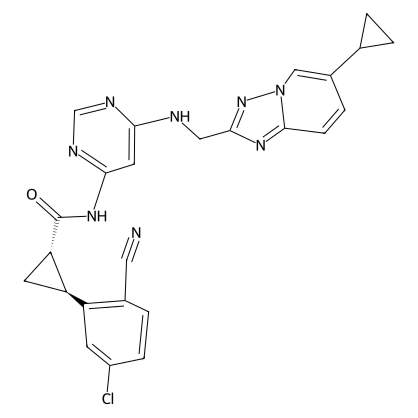 N#Cc1ccc(Cl)cc1[C@H]1C[C@@H]1C(=O)Nc1cc(NCc2nc3ccc(C4CC4)cn3n2)ncn1